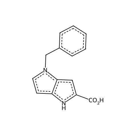 O=C(O)c1cc2c(ccn2Cc2ccccc2)[nH]1